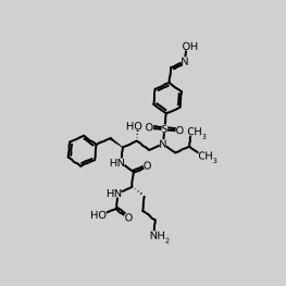 CC(C)CN(C[C@@H](O)[C@H](Cc1ccccc1)NC(=O)[C@H](CCCN)NC(=O)O)S(=O)(=O)c1ccc(C=NO)cc1